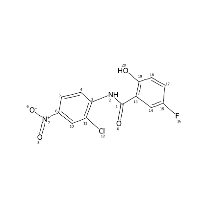 O=C(Nc1ccc([N+](=O)[O-])cc1Cl)c1cc(F)ccc1O